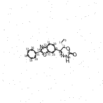 CC[C@@H]1OC(=O)NN=C1c1ccc2nc(-c3ccccc3)oc2c1